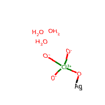 O.O.O.[O-][Cl+3]([O-])([O-])[O][Ag]